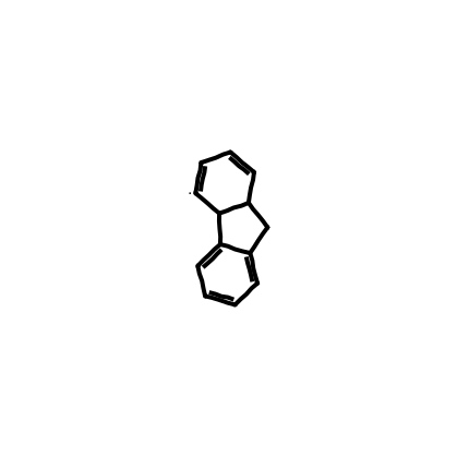 [C]1=CC=CC2Cc3ccccc3C12